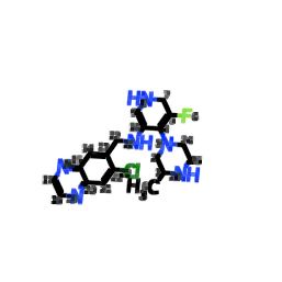 CC1CN(C2=C(F)CNC=C2NCc2cc3nccnc3cc2Cl)CCN1